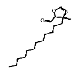 CCCCCCCCCCCCC1(C)N=COC1C=O